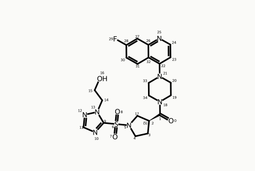 O=C([C@H]1CCN(S(=O)(=O)c2ncnn2CCO)C1)N1CCN(c2ccnc3cc(F)ccc23)CC1